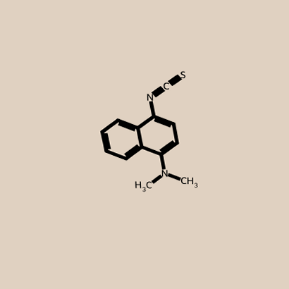 CN(C)c1ccc(N=C=S)c2ccccc12